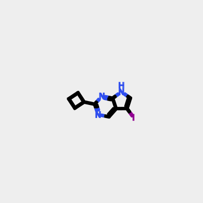 Ic1c[nH]c2nc(C3CCC3)ncc12